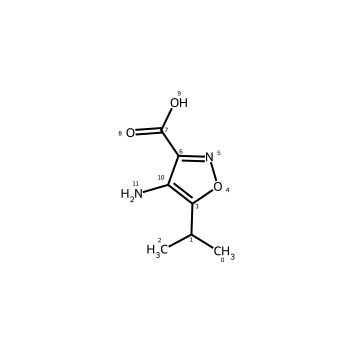 CC(C)c1onc(C(=O)O)c1N